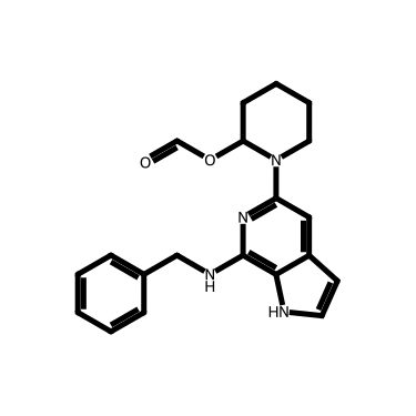 O=COC1CCCCN1c1cc2cc[nH]c2c(NCc2ccccc2)n1